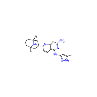 Cc1cc(Nc2nc(N)cc3nc([C@H]4C[C@H]5CCC[C@@H](C4)N5)ccc23)n[nH]1